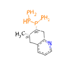 C[C@H]1Cc2cccnc2C[C@H]1P(P)PP